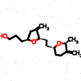 C=C1C[C@H](CCCO)O[C@H]1CC[C@H]1CCC(=C)[C@@H](C)O1